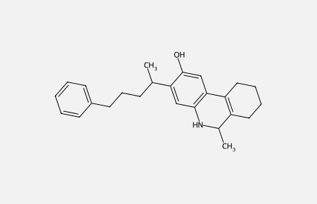 CC1Nc2cc(C(C)CCCc3ccccc3)c(O)cc2C2=C1CCCC2